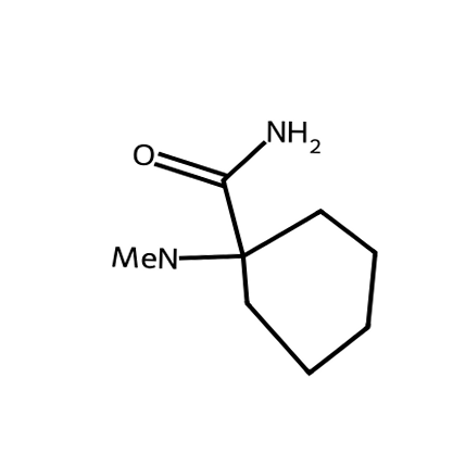 CNC1(C(N)=O)CCCCC1